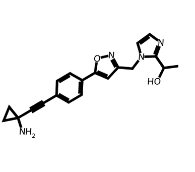 CC(O)c1nccn1Cc1cc(-c2ccc(C#CC3(N)CC3)cc2)on1